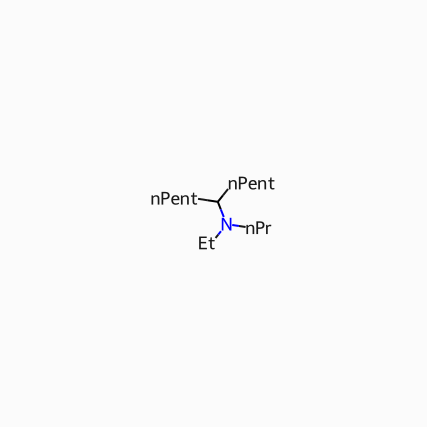 CCCCCC(CCCCC)N(CC)CCC